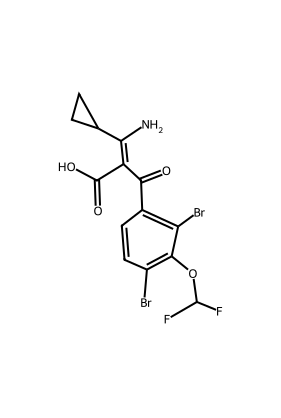 NC(=C(C(=O)O)C(=O)c1ccc(Br)c(OC(F)F)c1Br)C1CC1